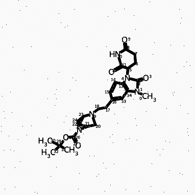 Cn1c(=O)n(C2CCC(=O)NC2=O)c2ccc(CCN3CC4CC3CN4C(=O)OC(C)(C)C)cc21